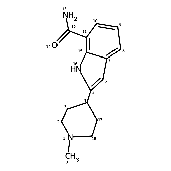 CN1CCC(c2cc3cccc(C(N)=O)c3[nH]2)CC1